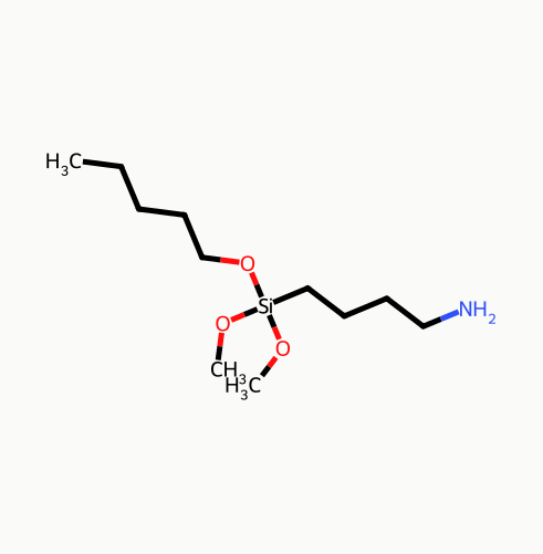 CCCCCO[Si](CCCCN)(OC)OC